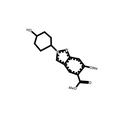 COC(=O)c1cc2cn(C3CCC(O)CC3)nc2cc1OC